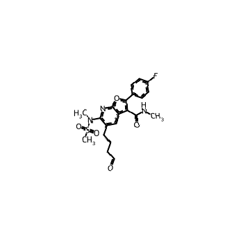 CNC(=O)c1c(-c2ccc(F)cc2)oc2nc(N(C)S(C)(=O)=O)c(CCCC=O)cc12